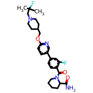 CC(C)(F)CN1CCC(COc2ccc(-c3ccc(C(=O)N4CCCCC4C(N)=O)c(F)c3)cn2)CC1